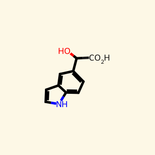 O=C(O)C(O)c1ccc2[nH]ccc2c1